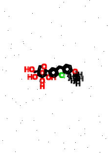 [2H]C([2H])([2H])C([2H])([2H])Oc1ccc(Cc2cc([C@]34OC[C@](CO)(O3)[C@@H](O)[C@H](O)[C@H]4O)ccc2Cl)cc1